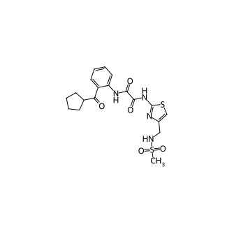 CS(=O)(=O)NCc1csc(NC(=O)C(=O)Nc2ccccc2C(=O)C2CCCC2)n1